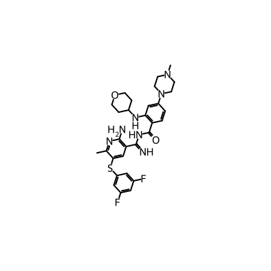 Cc1nc(N)c(C(=N)NC(=O)c2ccc(N3CCN(C)CC3)cc2NC2CCOCC2)cc1Sc1cc(F)cc(F)c1